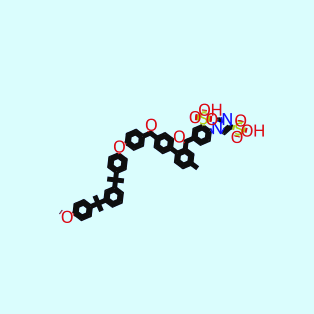 COc1ccc(C(C)(C)c2cccc(C(C)(C)c3ccc(Oc4ccc(C(=O)c5ccc(-c6ccc(C)cc6C(=O)c6ccc(-n7cnc(S(=O)(=O)O)c7)c(S(=O)(=O)O)c6)cc5)cc4)cc3)c2)cc1